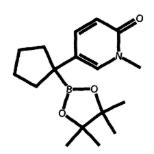 Cn1cc(C2(B3OC(C)(C)C(C)(C)O3)CCCC2)ccc1=O